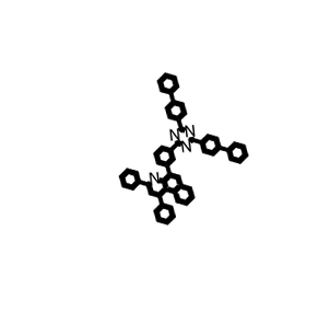 c1ccc(-c2ccc(-c3nc(-c4ccc(-c5ccccc5)cc4)nc(-c4cccc(-c5cc6ccccc6c6c(-c7ccccc7)cc(-c7ccccc7)nc56)c4)n3)cc2)cc1